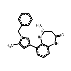 Cc1cc(-c2cccc3c2N[C@H](C)CC(=O)N3)cn1Cc1ccccc1